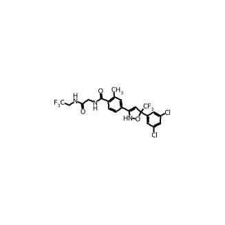 Cc1cc(C2=CC(c3cc(Cl)cc(Cl)c3)(C(F)(F)F)ON2)ccc1C(=O)NCC(=O)NCC(F)(F)F